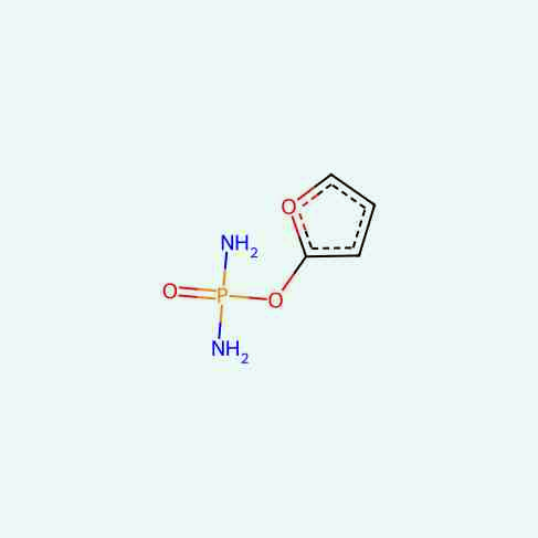 NP(N)(=O)Oc1ccco1